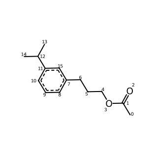 CC(=O)OCCCc1cccc(C(C)C)c1